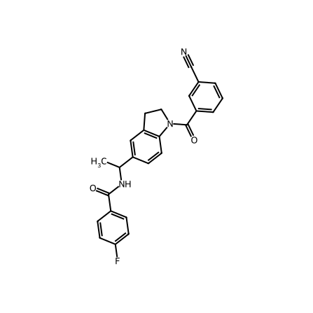 CC(NC(=O)c1ccc(F)cc1)c1ccc2c(c1)CCN2C(=O)c1cccc(C#N)c1